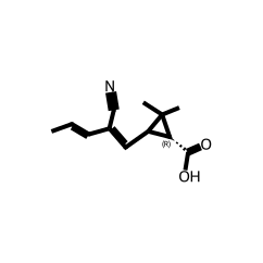 CC=CC(C#N)=CC1[C@@H](C(=O)O)C1(C)C